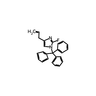 C=CCc1cn(C(c2ccccc2)(c2ccccc2)c2ccccc2)c(F)n1